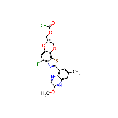 COc1cnc2c(-c3nc4c(F)cc5c(c4s3)OC[C@H](COC(=O)Cl)O5)cc(C)cc2n1